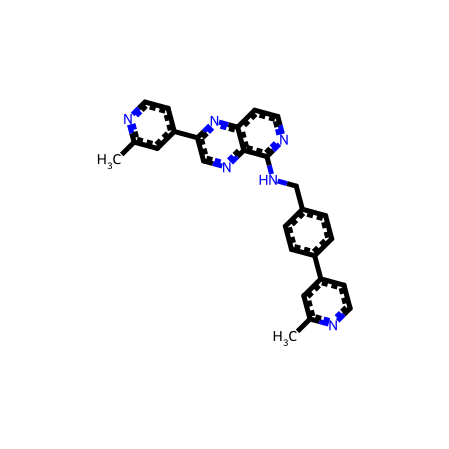 Cc1cc(-c2ccc(CNc3nccc4nc(-c5ccnc(C)c5)cnc34)cc2)ccn1